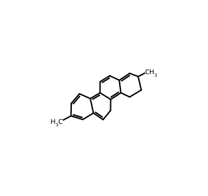 Cc1ccc2c(c1)=CCc1c3c(ccc1=2)=CC(C)CC3